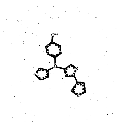 Oc1ccc(N(c2ccsc2)c2csc(-c3ccsc3)c2)cc1